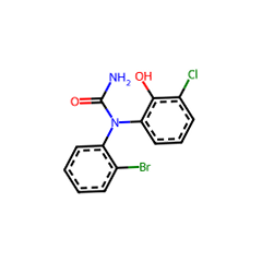 NC(=O)N(c1ccccc1Br)c1cccc(Cl)c1O